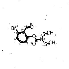 CSN(SC)C(=O)Oc1cccc(Br)c1C=O